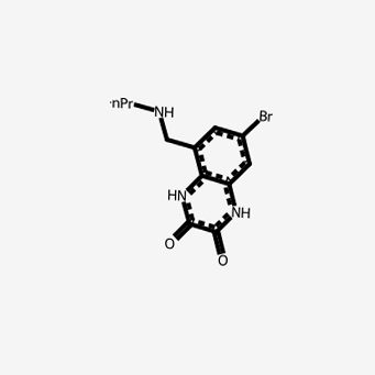 CC[CH]NCc1cc(Br)cc2[nH]c(=O)c(=O)[nH]c12